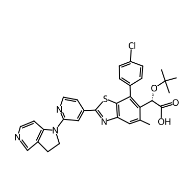 Cc1cc2nc(-c3ccnc(N4CCc5cnccc54)c3)sc2c(-c2ccc(Cl)cc2)c1[C@H](OC(C)(C)C)C(=O)O